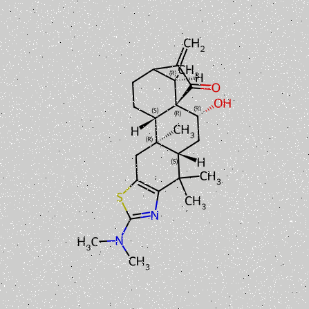 C=C1C(=O)[C@@]23[C@H](O)C[C@@H]4C(C)(C)c5nc(N(C)C)sc5C[C@@]4(C)[C@@H]2CCC1[C@H]3C